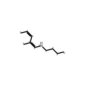 C/C=C\C(C)=C/NCCCC